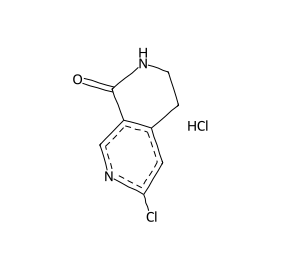 Cl.O=C1NCCc2cc(Cl)ncc21